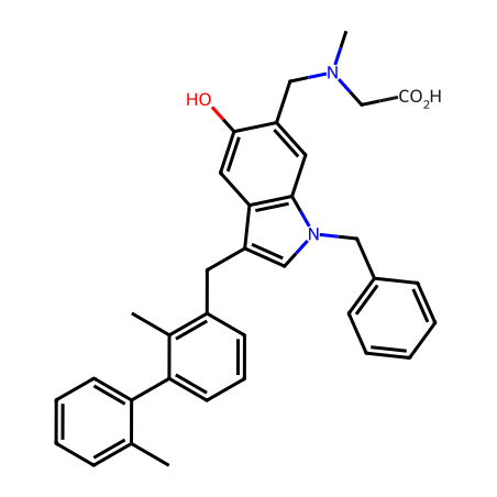 Cc1ccccc1-c1cccc(Cc2cn(Cc3ccccc3)c3cc(CN(C)CC(=O)O)c(O)cc23)c1C